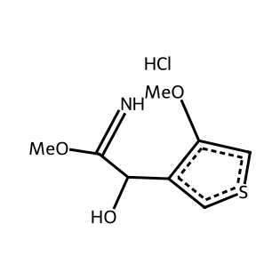 COC(=N)C(O)c1cscc1OC.Cl